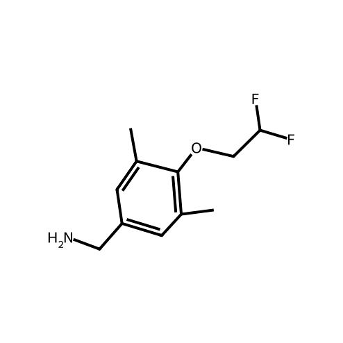 Cc1cc(CN)cc(C)c1OCC(F)F